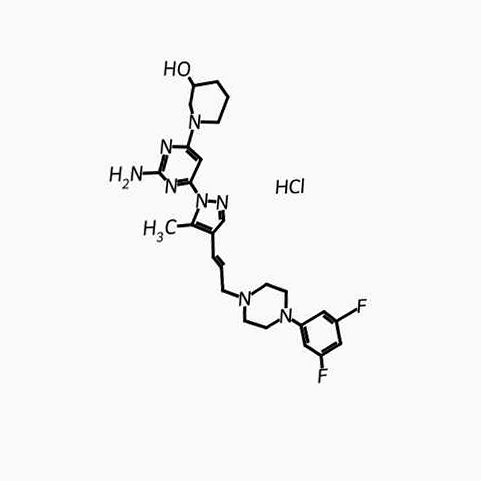 Cc1c(C=CCN2CCN(c3cc(F)cc(F)c3)CC2)cnn1-c1cc(N2CCCC(O)C2)nc(N)n1.Cl